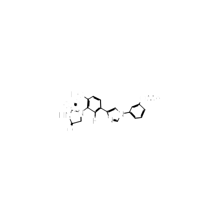 COc1cccc(-n2cnc(-c3ccc(O)c(N4CC(=O)NS4(=O)=O)c3F)c2)c1